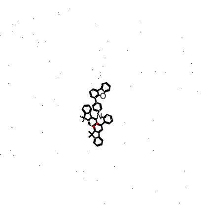 CC1(C)c2ccccc2-c2cc(-c3ccccc3N(c3ccc(-c4cccc5c4oc4ccccc45)cc3)c3cccc4c3-c3ccccc3C4(C)C)ccc21